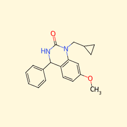 COc1ccc2c(c1)N(CC1CC1)C(=O)NC2c1ccccc1